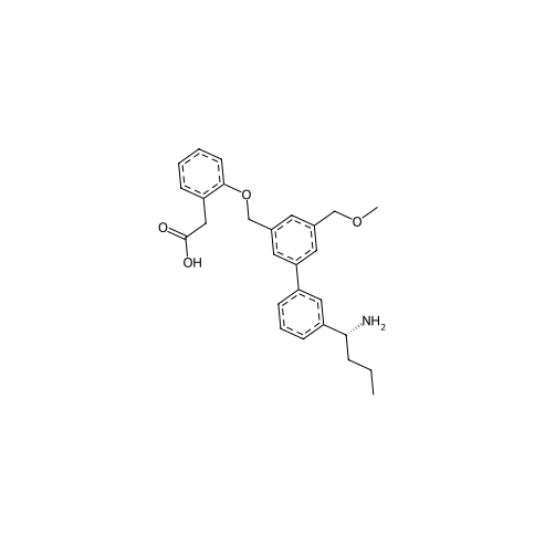 CCC[C@@H](N)c1cccc(-c2cc(COC)cc(COc3ccccc3CC(=O)O)c2)c1